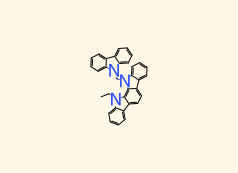 CCn1c2ccccc2c2ccc3c4ccccc4n(Cn4c5ccccc5c5ccccc54)c3c21